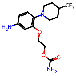 NC(=O)OCCOc1cc(N)ccc1N1CCC(C(F)(F)F)CC1